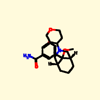 COC1(c2cccc(C(N)=O)c2)[C@@H]2CCC[C@H]1CN(C1CCOCC1)C2